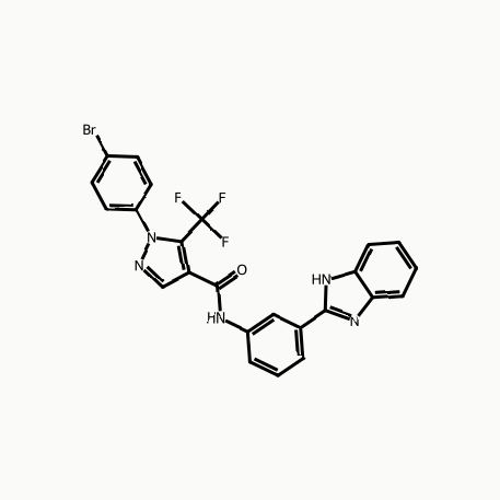 O=C(Nc1cccc(-c2nc3ccccc3[nH]2)c1)c1cnn(-c2ccc(Br)cc2)c1C(F)(F)F